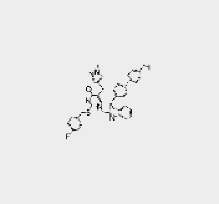 Cn1cc(Cc2cn(Cc3nc4ccccc4n3Cc3ccc(-c4ccc(CF)cc4)cc3)c(SCc3ccc(F)cc3)nc2=O)cn1